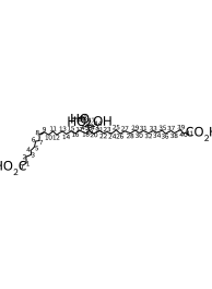 O=C(O)CCCCCCC/C=C\CCCCCCCCCC(CCCCCCCCCCCCCCCCCCCCCC(=O)O)C(CO)(CO)CO